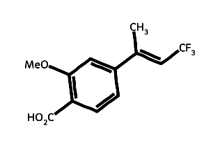 COc1cc(/C(C)=C/C(F)(F)F)ccc1C(=O)O